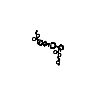 CCOC(=O)N1CCC2(CC(N3CCC(C4CCCN4C(=O)OCCOC)CC3)C2)C1